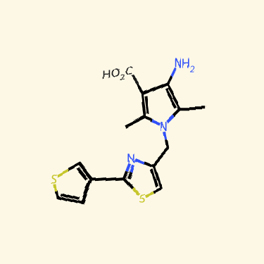 Cc1c(N)c(C(=O)O)c(C)n1Cc1csc(-c2ccsc2)n1